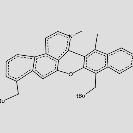 Cc1c2c(c(CC(C)(C)C)c3ccccc13)Oc1cc3c(CC(C)(C)C)cccc3c3cc[n+](C)c-2c13